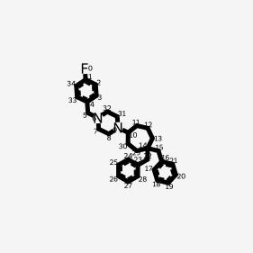 Fc1ccc(CN2CCN(C3CCCC(Cc4ccccc4)(Cc4ccccc4)CC3)CC2)cc1